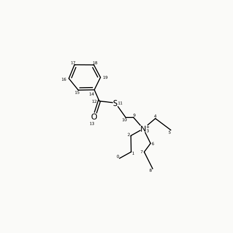 CCC[N+](CC)(CCC)CCSC(=O)c1ccccc1